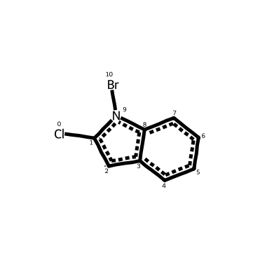 Clc1[c]c2ccccc2n1Br